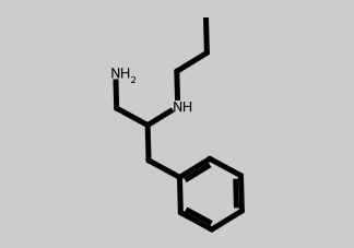 CCCNC(CN)Cc1ccccc1